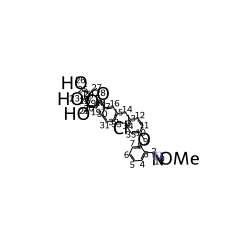 CO/N=C/c1ccccc1Oc1ccc(Cc2cc([C@]34CC(O)[C@H](O)[C@](CO)(CO3)O4)ccc2Cl)cc1